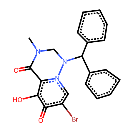 CN1CN(C(c2ccccc2)c2ccccc2)n2cc(Br)c(=O)c(O)c2C1=O